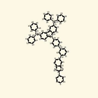 c1ccc(-c2nc3ccc(-c4cccc(-c5ccc(-n6c7ccc(N(c8ccccc8)c8ccccc8)cc7c7cc(N(c8ccccc8)c8ccccc8)ccc76)cc5)c4)cc3o2)cc1